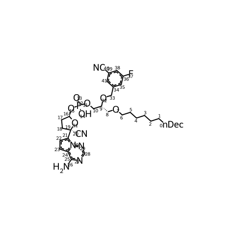 CCCCCCCCCCCCCCCCOC[C@H](COP(=O)(O)O[C@@H]1CC[C@](C#N)(c2ccc3c(N)ncnn23)O1)OCc1cc(F)cc(C#N)c1